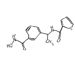 CC(NC(=O)c1cccs1)c1cccc(C(=O)NO)c1